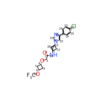 O=C(CO[C@H]1C[C@@H](OC(F)(F)F)C1)NC12CC(n3cnc(-c4ccc(Cl)cc4)c3)(C1)C2